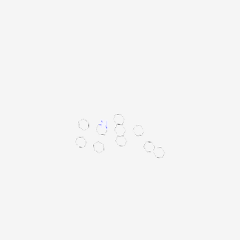 c1cc(-c2ccc3ccccc3c2)cc(-c2c3ccccc3c(-c3cc4c(cn3)-c3ccccc3-c3ccccc3-c3ccccc3-4)c3ccccc23)c1